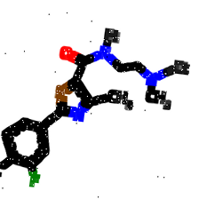 CCN(C)CCN(CC)C(=O)c1sc(-c2ccc(C)c(F)c2)nc1C